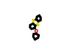 c1ccc(Oc2cccc3c2Sc2ccccc2S3)cc1